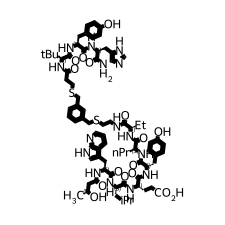 CCC[C@H](NC(=O)[C@H](Cc1ccc(O)cc1)NC(=O)[C@H](CCC(=O)O)NC(=O)[C@H](CC(C)C)NC(=O)[C@H](Cc1c[nH]c2ncccc12)NC(=O)C[C@@H](C)O)C(=O)N[C@@H](CC)C(=O)NCCSCc1cccc(CSCCC(=O)N[C@H](C(=O)N[C@@H](Cc2ccc(O)cc2)C(=O)N[C@@H](Cc2cnc[nH]2)C(N)=O)C(C)(C)C)c1